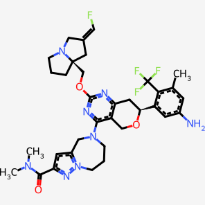 Cc1cc(N)cc([C@@H]2Cc3nc(OC[C@@]45CCCN4C/C(=C\F)C5)nc(N4CCCn5nc(C(=O)N(C)C)cc5C4)c3CO2)c1C(F)(F)F